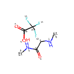 CCNCC(=O)NCC.O=C(O)C(F)(F)F